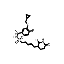 C[C@@H](NS(=O)(=O)CCC=CCC1CCC(=O)NC1=O)c1ccc(F)c(OCC2CC2)c1